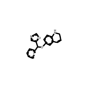 C1=Cc2cc(OC(c3ccccc3)c3cnco3)ccc2NC1